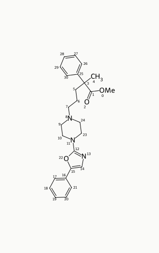 COC(=O)C(C)(CCCN1CCN(c2ncc(-c3ccccc3)o2)CC1)c1ccccc1